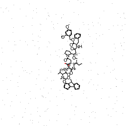 CC[C@H](C)[C@@H](C(CC(=O)N1CCCC1C(OC)[C@@H](C)C(=O)NC(Cc1ccccc1)C(=O)OCc1ccc(OC)cc1OC)OC)N(C)C(=O)[C@@H](NC(=O)C(C(C)C)N(C)C(=O)OCC1c2ccccc2-c2ccccc21)C(C)C